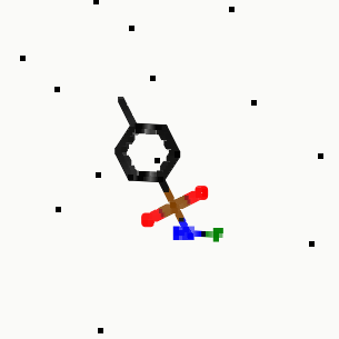 Cc1ccc(S(=O)(=O)NF)cc1